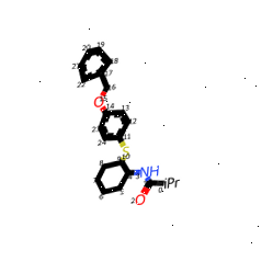 CC(C)C(=O)NC1CCCCC1Sc1ccc(OCc2ccccc2)cc1